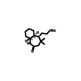 CCCCCCCCCCCCN1[C@@H]2CCCC[C@H]2NC(=O)CC1(C)C